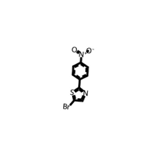 O=[N+]([O-])c1ccc(-c2ncc(Br)s2)cc1